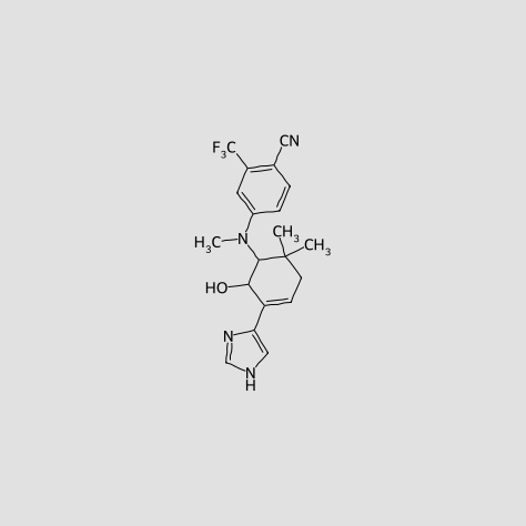 CN(c1ccc(C#N)c(C(F)(F)F)c1)C1C(O)C(c2c[nH]cn2)=CCC1(C)C